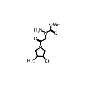 CCC1CN(C(=O)CN(N)C(=O)OC)CC1C